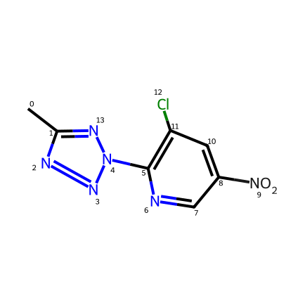 Cc1nnn(-c2ncc([N+](=O)[O-])cc2Cl)n1